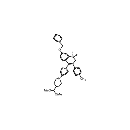 COC(OC)C1CCN(c2ccc(C3=C(c4ccc(C)cc4)CC(F)(F)c4cc(OCc5ccccc5)ccc43)cc2)CC1